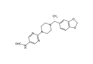 C[C@H](c1ccc2c(c1)OCO2)N1CCN(c2ncc(NC=O)cn2)CC1